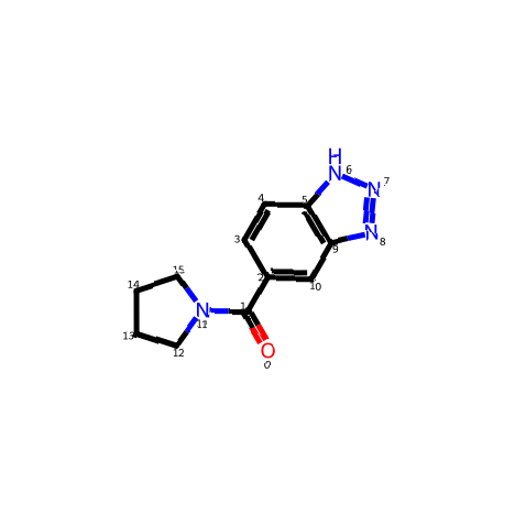 O=C(c1ccc2[nH]nnc2c1)N1CCCC1